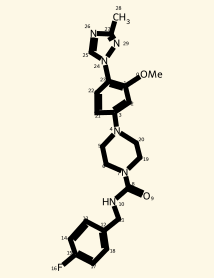 COc1cc(N2CCN(C(=O)NCc3ccc(F)cc3)CC2)ccc1-n1cnc(C)n1